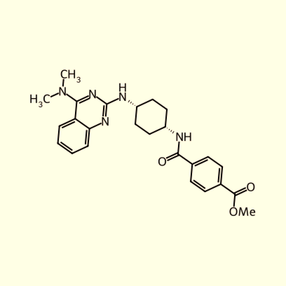 COC(=O)c1ccc(C(=O)N[C@H]2CC[C@@H](Nc3nc(N(C)C)c4ccccc4n3)CC2)cc1